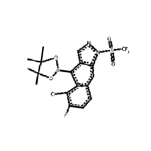 CC1(C)OB(c2c3cnn(S(=O)(=O)C(F)(F)F)c3cc3ccc(F)c(Cl)c23)OC1(C)C